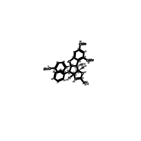 COc1ccc([C@]23Oc4cc(OC)cc(OC)c4[C@H]2[C@H]2OC(N)=N[C@@H]2[C@H]3c2ccccc2)cc1